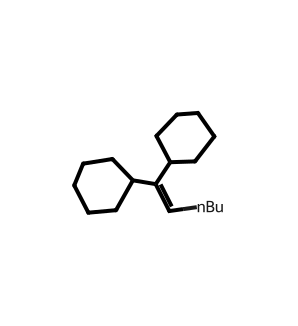 CCCCC=C(C1CCCCC1)C1CCCCC1